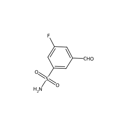 NS(=O)(=O)c1cc(F)cc(C=O)c1